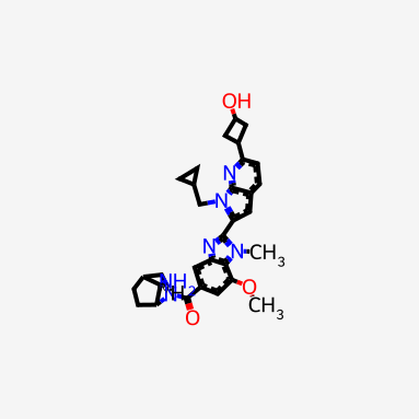 COc1cc(C(=O)N2CC3CCC2[C@@H]3N)cc2nc(-c3cc4ccc(C5CC(O)C5)nc4n3CC3CC3)n(C)c12